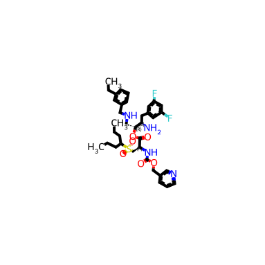 CCCC(CCC)S(=O)(=O)C[C@H](NC(=O)OCc1cccnc1)C(=O)O[C@H](CNCc1cccc(CC)c1)[C@@H](N)Cc1cc(F)cc(F)c1